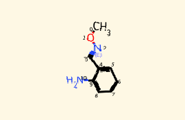 CO/N=C/c1ccccc1N